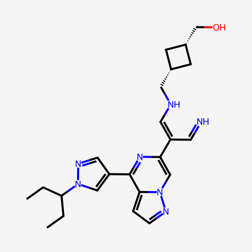 CCC(CC)n1cc(-c2nc(/C(C=N)=C/NC[C@H]3C[C@@H](CO)C3)cn3nccc23)cn1